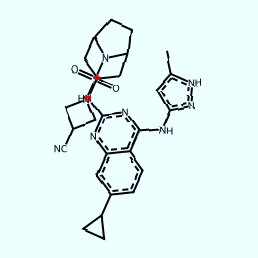 Cc1cc(Nc2nc(NC3CC4CCC(C3)N4S(=O)(=O)N3CC(C#N)C3)nc3cc(C4CC4)ccc23)n[nH]1